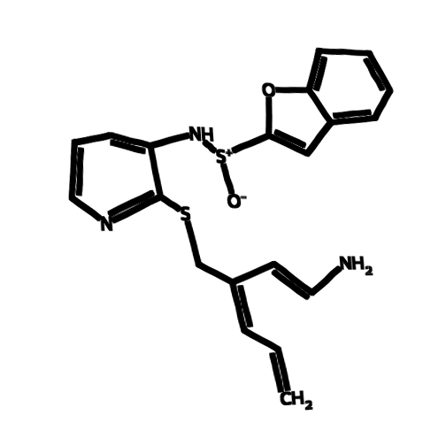 C=C/C=C(\C=C\N)CSc1ncccc1N[S+]([O-])c1cc2ccccc2o1